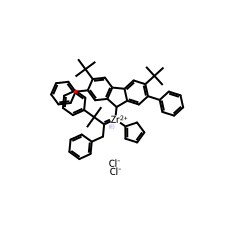 CC(C)(C)c1cc2c(cc1-c1ccccc1)[CH](/[Zr+2]([C]1=CC=CC1)=[C](/Cc1ccccc1)C(C)(C)c1ccccc1)c1cc(-c3ccccc3)c(C(C)(C)C)cc1-2.[Cl-].[Cl-]